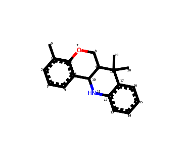 Cc1cccc2c1OCC1C2Nc2ccccc2C1(C)C